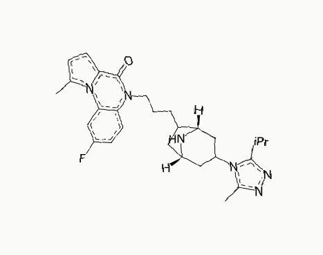 Cc1nnc(C(C)C)n1C1C[C@@H]2CC(CCCn3c(=O)c4ccc(C)n4c4cc(F)ccc43)[C@H](C1)N2